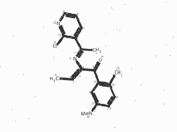 C/C=C(\N=C(/C)c1cccnc1Cl)C(=O)c1cc(NC)ccc1C